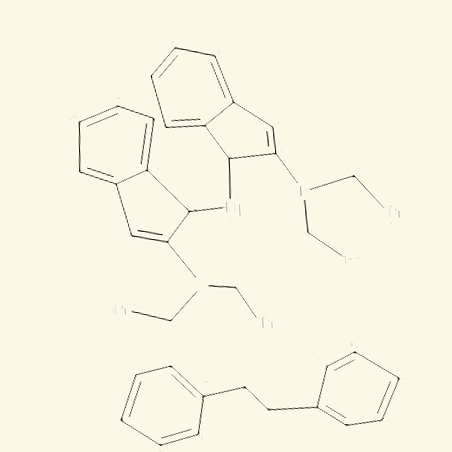 CC(C)CP(CC(C)C)C1=Cc2ccccc2[CH]1[Hf][CH]1C(P(CC(C)C)CC(C)C)=Cc2ccccc21.c1ccc(CCc2ccccc2)cc1